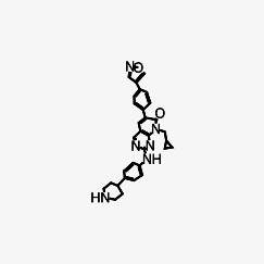 O=c1c(-c2ccc(-c3cnoc3)cc2)cc2cnc(Nc3ccc(C4CCNCC4)cc3)nc2n1CC1CC1